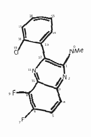 CNc1nc2ccc(F)c(F)c2nc1-c1ccccc1Cl